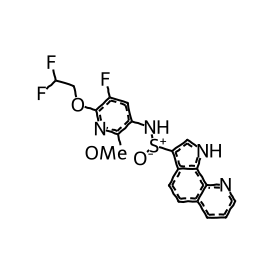 COc1nc(OCC(F)F)c(F)cc1N[S+]([O-])c1c[nH]c2c1ccc1cccnc12